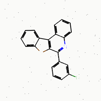 Brc1cccc(-c2nc3ccccc3c3c2sc2ccccc23)c1